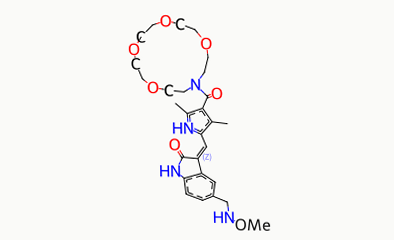 CONCc1ccc2c(c1)/C(=C/c1[nH]c(C)c(C(=O)N3CCOCCOCCOCCOCC3)c1C)C(=O)N2